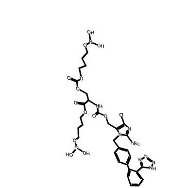 CCCCc1nc(Cl)c(COC(=O)NC(COC(=O)OCCCCON(O)O)C(=O)OCCCCON(O)O)n1Cc1ccc(-c2ccccc2-c2nnn[nH]2)cc1